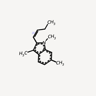 CC/C=C\c1c(C)c2ccc(C)cc2n1C